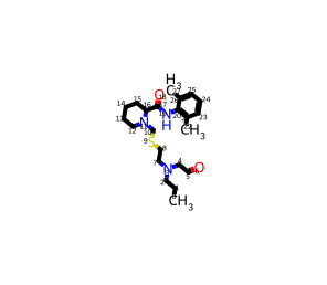 CCCN(CC=O)CCSCN1CCCCC1C(=O)Nc1c(C)cccc1C